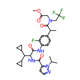 COC(=O)CN(CC(F)(F)F)C(=O)C(C)c1ccc(NC(=O)C(NC(=O)c2ccnn2C(C)C)C(C2CC2)C2CC2)c(F)c1